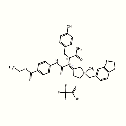 CCOC(=O)c1ccc(NC(=O)/[N+](=C2\CC[N+](C)(Cc3ccc4c(c3)OCO4)C2)[C@@H](Cc2ccc(O)cc2)C(N)=O)cc1.O=C(O)C(F)(F)F